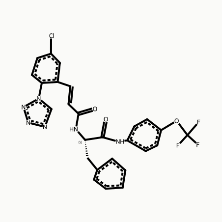 O=C(C=Cc1cc(Cl)ccc1-n1cnnn1)N[C@@H](Cc1ccccc1)C(=O)Nc1ccc(OC(F)(F)F)cc1